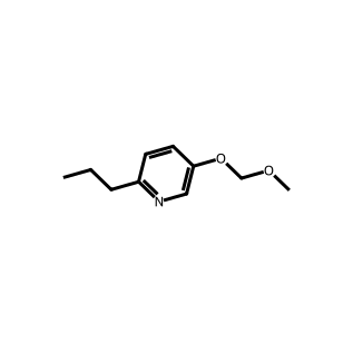 CCCc1ccc(OCOC)cn1